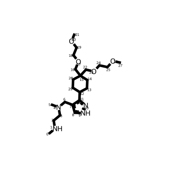 CNCCN(C)Cc1c[nH]nc1C1CCC(COCCOC)(COCCOC)CC1